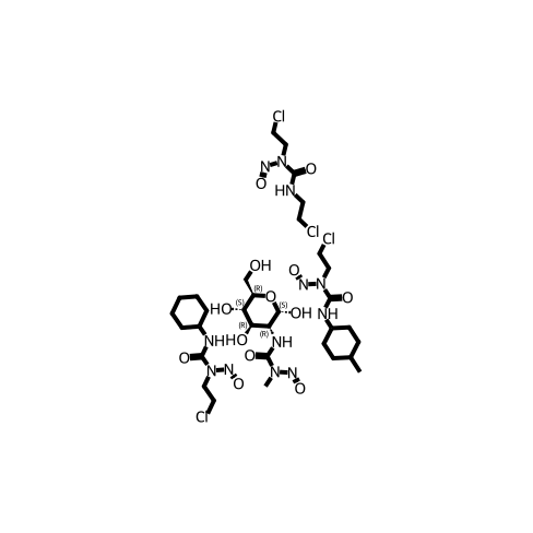 CC1CCC(NC(=O)N(CCCl)N=O)CC1.CN(N=O)C(=O)N[C@@H]1[C@@H](O)[C@H](O)[C@@H](CO)O[C@@H]1O.O=NN(CCCl)C(=O)NC1CCCCC1.O=NN(CCCl)C(=O)NCCCl